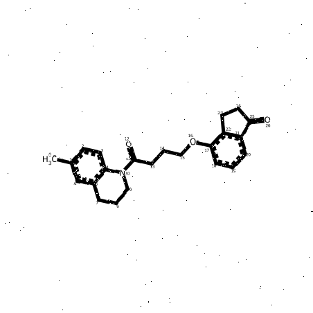 Cc1ccc2c(c1)CCCN2C(=O)CCCOc1cccc2c1CCC2=O